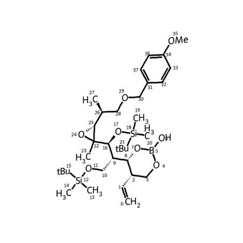 C=C[C@H]1COB(O)O[C@H]1[C@H](CO[Si](C)(C)C(C)(C)C)[C@H](O[Si](C)(C)C(C)(C)C)C1(C)O[C@@H]1[C@@H](C)COCc1ccc(OC)cc1